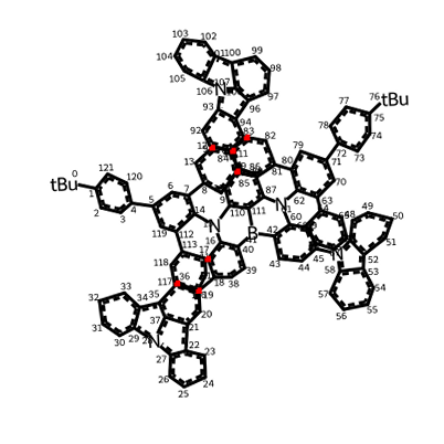 CC(C)(C)c1ccc(-c2cc(-c3ccccc3)c(N3c4cc(-c5cc6c7ccccc7n7c8ccccc8c(c5)c67)ccc4B4c5ccc(-n6c7ccccc7c7ccccc76)cc5N(c5c(-c6ccccc6)cc(-c6ccc(C(C)(C)C)cc6)cc5-c5ccccc5)c5cc(-c6ccc7c(c6)c6cccc8c9ccccc9n7c86)cc3c54)c(-c3ccccc3)c2)cc1